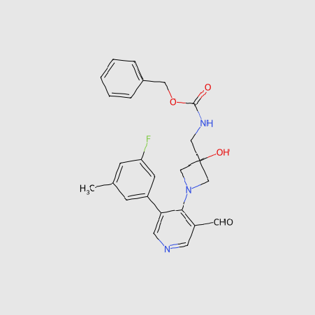 Cc1cc(F)cc(-c2cncc(C=O)c2N2CC(O)(CNC(=O)OCc3ccccc3)C2)c1